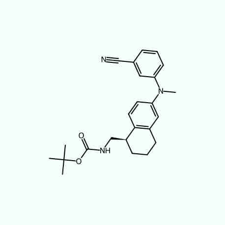 CN(c1cccc(C#N)c1)c1ccc2c(c1)CCC[C@H]2CNC(=O)OC(C)(C)C